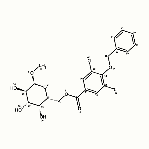 CO[C@@H]1O[C@H](COC(=O)c2cc(Cl)c(OCc3ccccc3)c(Cl)c2)[C@H](O)[C@H](O)[C@H]1O